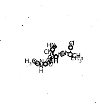 CN1CCN(Nc2ccc(S(=O)(=O)NC(=O)c3ccc(N4CCN(CC5=C(c6ccc(Cl)cc6)CC(C)(C)CC5)CC4)cc3Oc3cc4cc[nH]c4cc3Cl)cc2[N+](=O)[O-])CC1